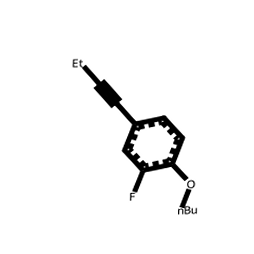 CCC#Cc1ccc(OCCCC)c(F)c1